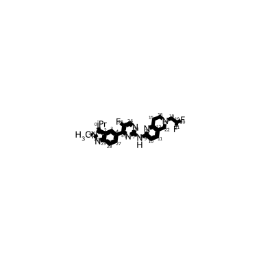 CC(C)c1c2cc(-c3nc(Nc4ccc5c(n4)CCN(CC(F)F)C5)ncc3F)ccc2nn1C